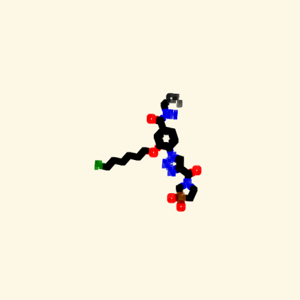 O=C(NCC(F)(F)F)c1ccc(-n2cc(C(=O)N3CCS(=O)(=O)C3)nn2)c(OCCCCCCF)c1